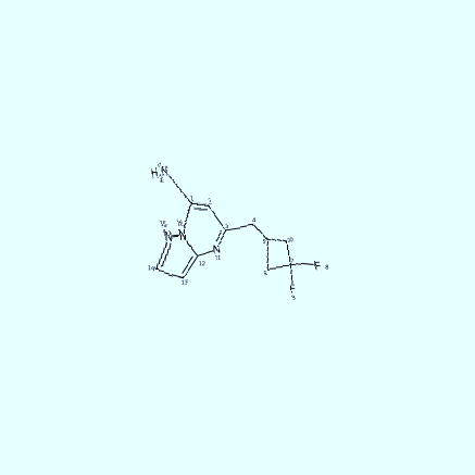 Nc1cc(CC2CC(F)(F)C2)nc2ccnn12